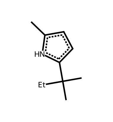 CCC(C)(C)c1ccc(C)[nH]1